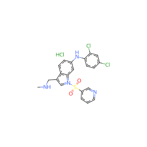 CNCc1cn(S(=O)(=O)c2cccnc2)c2cc(Nc3ccc(Cl)cc3Cl)ccc12.Cl